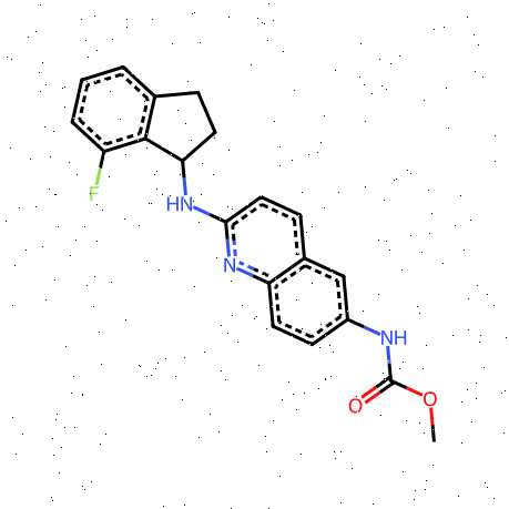 COC(=O)Nc1ccc2nc(NC3CCc4cccc(F)c43)ccc2c1